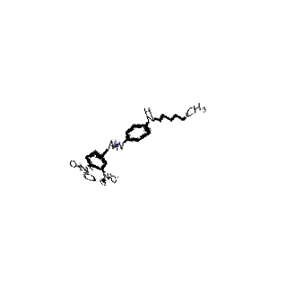 CCCCCCNc1ccc(/N=N/c2ccc([N+](=O)[O-])c([N+](=O)[O-])c2)cc1